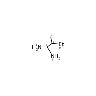 [CH2]CC(C)C(N)N